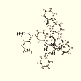 C=C/C(=C\C=C/C)c1ccc(-n2c3ccccc3c3ccc4c5ccccc5sc4c32)c(-c2nc(-c3ccccc3)nc(-c3ccccc3)n2)c1